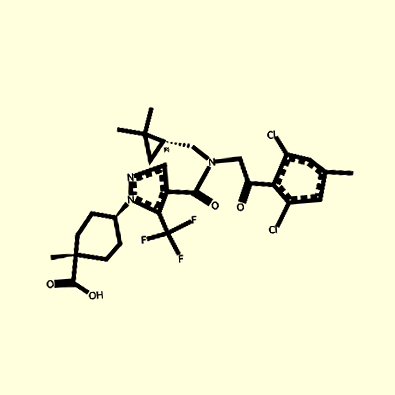 Cc1cc(Cl)c(C(=O)CN(C[C@@H]2CC2(C)C)C(=O)c2cnn([C@H]3CC[C@](C)(C(=O)O)CC3)c2C(F)(F)F)c(Cl)c1